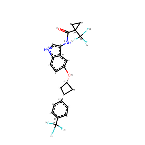 O=C(Nc1c[nH]c2ccc(O[C@H]3C[C@@H](c4ccc(C(F)(F)F)cc4)C3)cc12)C1(C(F)(F)F)CC1